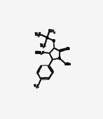 CCCCN1C(=O)C(O[Si](C)(C)C)C(C(=O)OCC)C1c1ccc(C)cc1